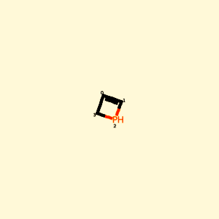 C1=CPC1